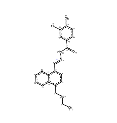 CCNCc1ccc(/C=N/NC(=O)c2ccc(O)c(Cl)c2)c2ccccc12